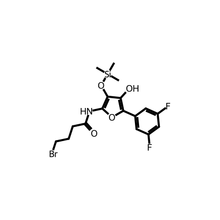 C[Si](C)(C)Oc1c(NC(=O)CCCBr)oc(-c2cc(F)cc(F)c2)c1O